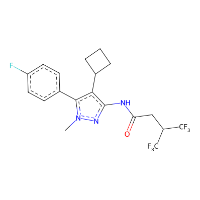 Cn1nc(NC(=O)CC(C(F)(F)F)C(F)(F)F)c(C2CCC2)c1-c1ccc(F)cc1